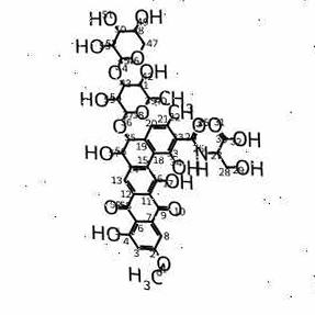 COc1cc(O)c2c(c1)C(=O)c1c(cc3c(c1O)-c1c(cc(C)c(C(=O)NC(CO)C(=O)O)c1O)[C@H](OC1OC(C)C(O)C(OC4OCC(O)C(O)C4O)C1O)C3O)C2=O